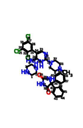 C1CNCCN1.CN1CCN(c2ncc(-c3cc(Cl)cc(Cl)c3Cl)c(=N)[nH]2)CC1.O=C1NC(=O)C(c2ccccc2)(c2ccccc2)N1